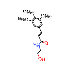 COc1cc(/C=C/C(=O)NCCO)cc(OC)c1OC